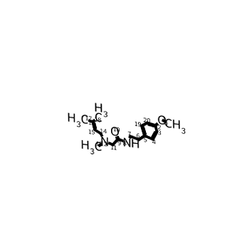 COc1ccc(CCNC(=O)CN(C)CC=C(C)C)cc1